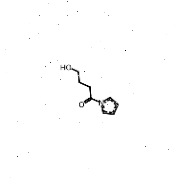 O=C(CCCO)n1cccc1